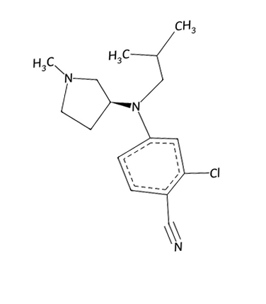 CC(C)CN(c1ccc(C#N)c(Cl)c1)[C@H]1CCN(C)C1